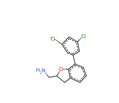 NCC1Cc2cccc(-c3cc(Cl)cc(Cl)c3)c2O1